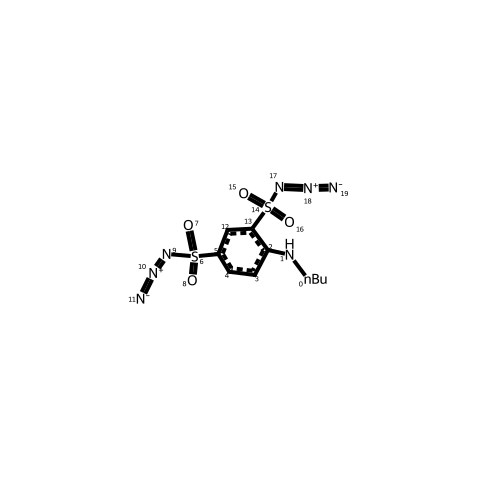 CCCCNc1ccc(S(=O)(=O)N=[N+]=[N-])cc1S(=O)(=O)N=[N+]=[N-]